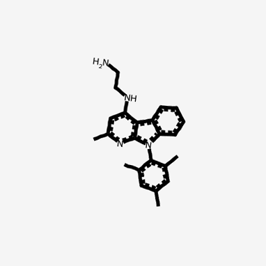 Cc1cc(C)c(-n2c3ccccc3c3c(NCCN)cc(C)nc32)c(C)c1